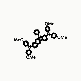 COc1ccc(N(c2ccc(OC)cc2)c2ccc3cc4c5ccc(N(c6ccc(OC)cc6)c6ccc(OC)cc6)cc5n(-c5ccccc5)c4cc3c2)cc1